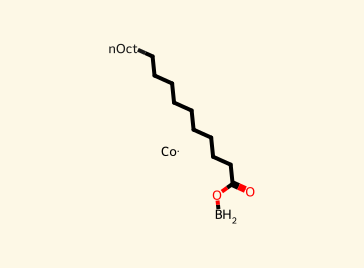 BOC(=O)CCCCCCCCCCCCCCCCC.[Co]